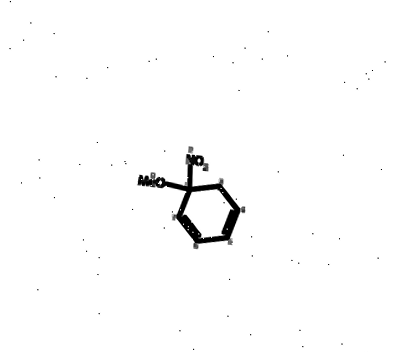 COC1([N+](=O)[O-])[CH]C=CC=C1